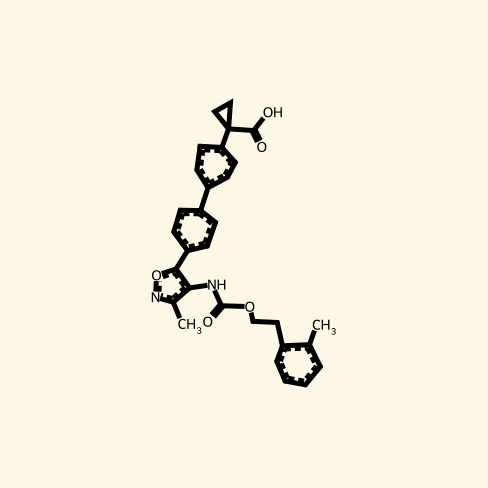 Cc1ccccc1CCOC(=O)Nc1c(C)noc1-c1ccc(-c2ccc(C3(C(=O)O)CC3)cc2)cc1